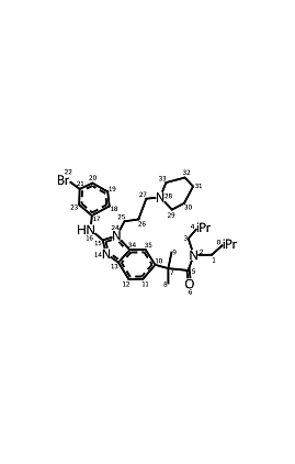 CC(C)CN(CC(C)C)C(=O)C(C)(C)c1ccc2nc(Nc3cccc(Br)c3)n(CCCN3CCCCC3)c2c1